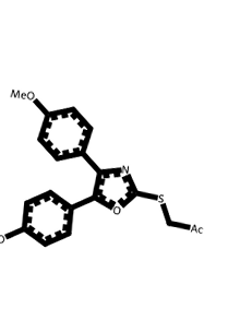 COc1ccc(-c2nc(SCC(C)=O)oc2-c2ccc(OC)cc2)cc1